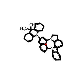 CC1(C)C2=C(CCC=C2)N(C2=CCCC(N3CCc4ccc5c6ccccc6n(-c6ccccc6)c5c43)=C2)C2=C1CCC=C2